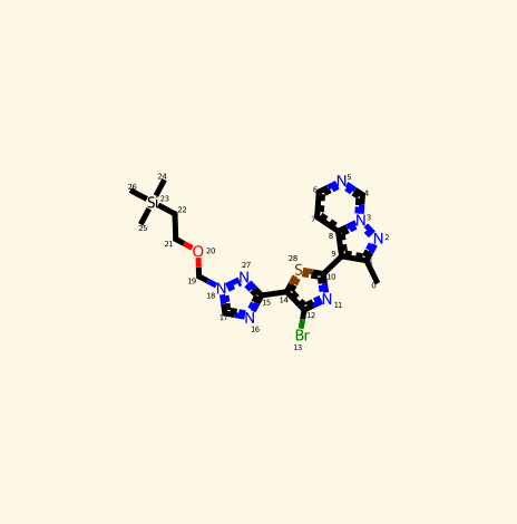 Cc1nn2cnccc2c1-c1nc(Br)c(-c2ncn(COCC[Si](C)(C)C)n2)s1